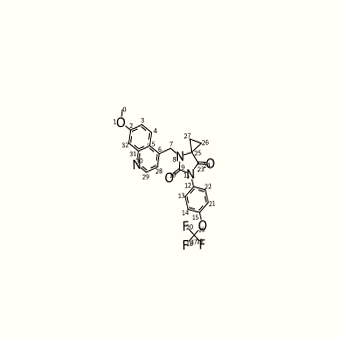 COc1ccc2c(CN3C(=O)N(c4ccc(OC(F)(F)F)cc4)C(=O)C34CC4)ccnc2c1